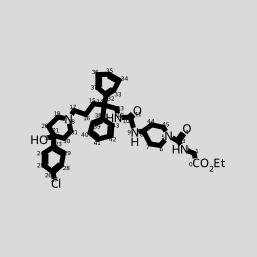 CCOC(=O)CNC(=O)N1CCC(NC(=O)NCC(CCCN2CCC(O)(c3ccc(Cl)cc3)CC2)(c2ccccc2)c2ccccc2)CC1